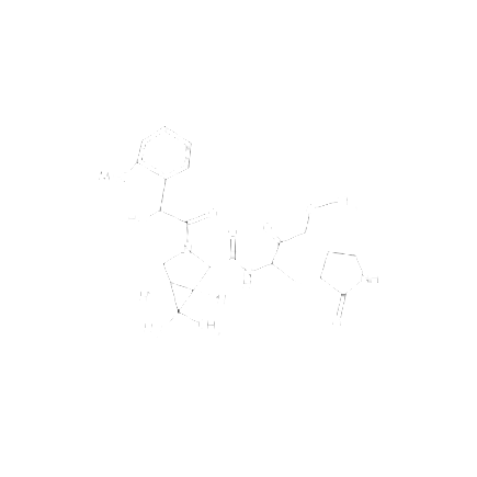 COc1ccccc1C(O)C(=O)N1C[C@H]2[C@@H]([C@H]1C(=O)NC(C[C@@H]1CCNC1=O)C(=O)COC(F)(F)F)C2(C)C